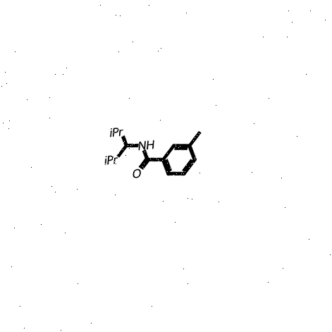 Cc1cccc(C(=O)NC(C(C)C)C(C)C)c1